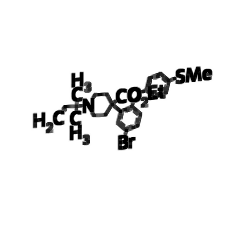 C=CC(C)(C)N1CCC(C(=O)OCC)(c2cc(Br)ccc2Oc2ccc(SC)cc2)CC1